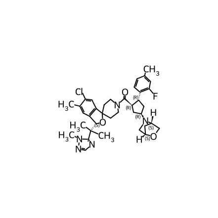 Cc1ccc([C@@H]2C[C@@H](N3C[C@@H]4C[C@H]3CO4)C[C@H]2C(=O)N2CCC3(CC2)O[C@H](C(C)(C)c2ncnn2C)c2cc(C)c(Cl)cc23)c(F)c1